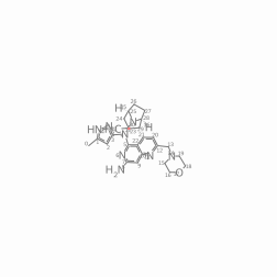 Cc1cc(N(c2nc(N)cc3nc(CN4CCOCC4)ccc23)[C@H]2C[C@H]3CC[C@@H](C2)N3CC(F)(F)F)n[nH]1